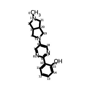 CN1CC2CN(c3cnc(-c4ccccc4O)nc3)CC2C1